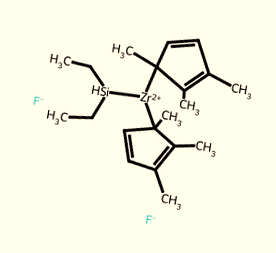 CC[SiH](CC)[Zr+2]([C]1(C)C=CC(C)=C1C)[C]1(C)C=CC(C)=C1C.[F-].[F-]